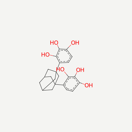 Oc1ccc(C23CC4CC(C2)CC(c2ccc(O)c(O)c2O)(C4)C3)c(O)c1O